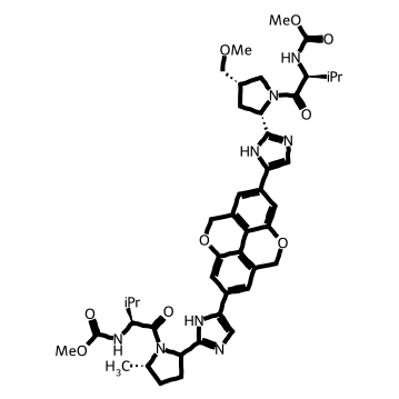 COC[C@H]1C[C@@H](c2ncc(-c3cc4c5c(c3)OCc3cc(-c6cnc(C7CC[C@H](C)N7C(=O)[C@@H](NC(=O)OC)C(C)C)[nH]6)cc(c3-5)OC4)[nH]2)N(C(=O)[C@@H](NC(=O)OC)C(C)C)C1